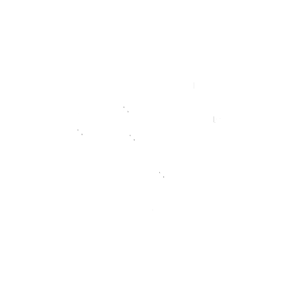 Cc1ccc(-n2c(-c3ccc(Br)c(F)c3)nc3ccncc32)cn1